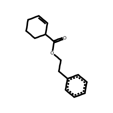 O=C(OCCc1ccccc1)C1C=CCCC1